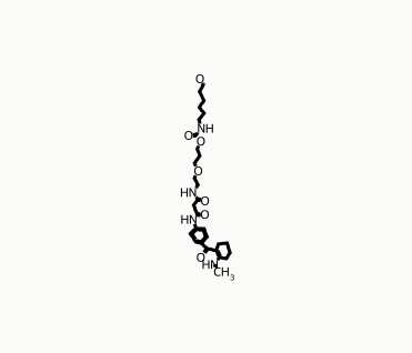 CNC1=C(C(=O)c2ccc(NC(=O)CC(=O)NCCOCCCOC(=O)NCCCCCC=O)cc2)CCCC1